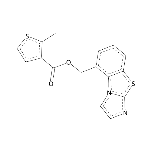 Cc1sccc1C(=O)OCc1cccc2sc3nccn3c12